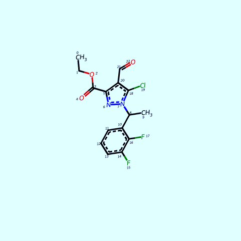 CCOC(=O)c1nn(C(C)c2cccc(F)c2F)c(Cl)c1C=O